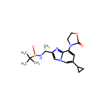 C[C@@H](N[S+]([O-])C(C)(C)C)c1cn2cc(C3CC3)cc(N3CCOC3=O)c2n1